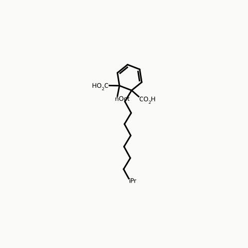 CCCCCCCCC1(C(=O)O)C=CC=CC1(CCCCCCCC(C)C)C(=O)O